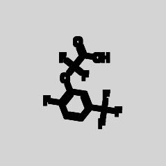 O=C(O)C(F)(F)Oc1cc(C(F)(F)F)ccc1F